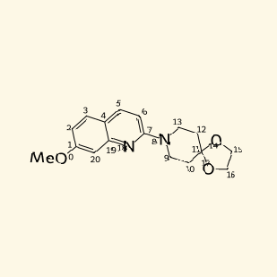 COc1ccc2ccc(N3CCC4(CC3)OCCO4)nc2c1